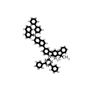 CC1(C)c2ccccc2-c2cc3c4cc(-c5ccc6cc(N(c7cccc(-c8ccccc8)c7)c7cccc8ccccc78)ccc6c5)ccc4n(-c4nc(-c5ccccc5)nc(-c5ccccc5)n4)c3cc21